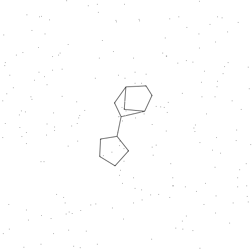 C1CCC([C]2CC3CCC2C3)C1